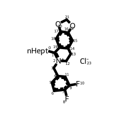 CCCCCCCC1=[N+](Cc2ccc(F)c(F)c2)CCc2cc3c(cc21)OCO3.[Cl-]